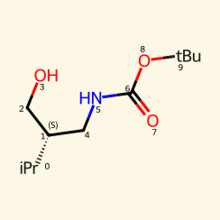 CC(C)[C@H](CO)CNC(=O)OC(C)(C)C